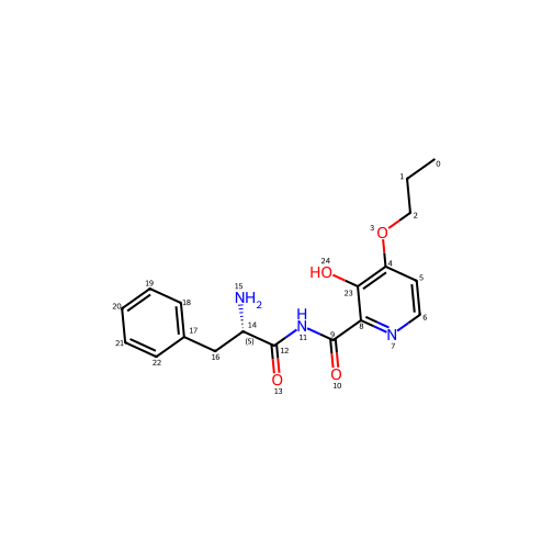 CCCOc1ccnc(C(=O)NC(=O)[C@@H](N)Cc2ccccc2)c1O